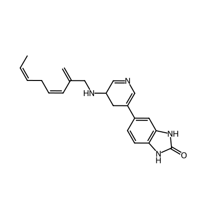 C=C(/C=C\C/C=C\C)CNC1C=NC=C(c2ccc3[nH]c(=O)[nH]c3c2)C1